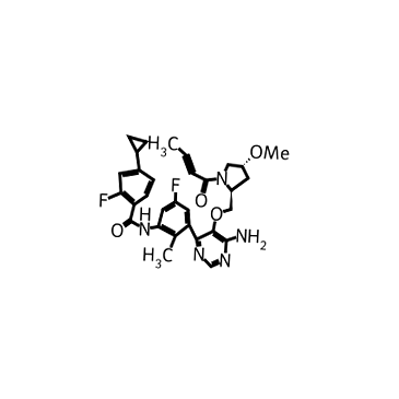 CC#CC(=O)N1C[C@H](OC)C[C@H]1COc1c(N)ncnc1-c1cc(F)cc(NC(=O)c2ccc(C3CC3)cc2F)c1C